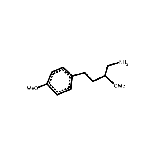 COc1ccc(CCC(CN)OC)cc1